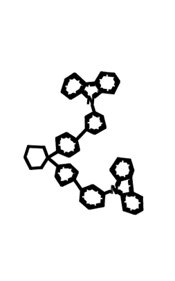 c1cc(-c2ccc(C3(c4ccc(-c5cccc(-n6c7ccccc7c7ccccc76)c5)cc4)CCCCC3)cc2)cc(-n2c3ccccc3c3ccccc32)c1